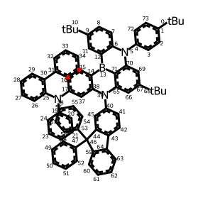 CC(C)(C)c1ccc(N2c3ccc(C(C)(C)C)cc3B3c4ccc(N(c5ccccc5)c5ccccc5-c5ccccc5)cc4N(c4ccc5c(c4)C(c4ccccc4)(c4ccccc4)c4ccccc4-5)c4cc(C(C)(C)C)cc2c43)cc1